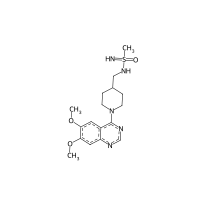 COc1cc2ncnc(N3CCC(CNS(C)(=N)=O)CC3)c2cc1OC